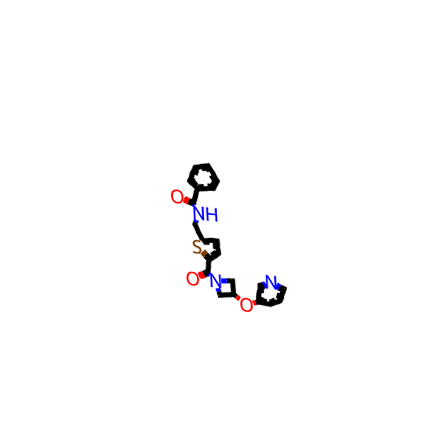 O=C(NCc1ccc(C(=O)N2CC(Oc3cccnc3)C2)s1)c1ccccc1